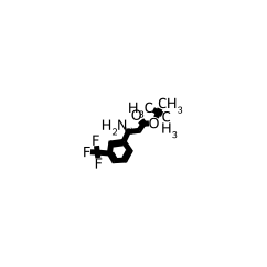 CC(C)(C)OC(=O)C[C@H](N)c1cccc(C(F)(F)F)c1